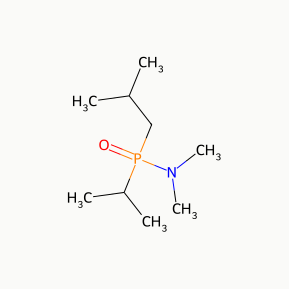 CC(C)CP(=O)(C(C)C)N(C)C